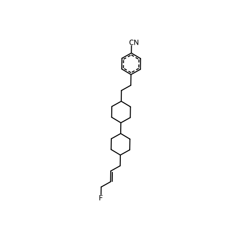 N#Cc1ccc(CCC2CCC(C3CCC(C/C=C/CF)CC3)CC2)cc1